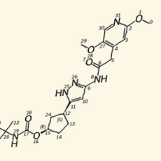 COc1cc(CC(=O)Nc2cc([C@H]3CC[C@@H](OC(=O)NC(C)(C)C)C3)[nH]n2)c(OC)cn1